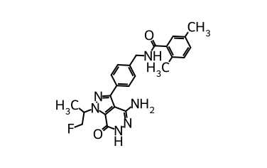 Cc1ccc(C)c(C(=O)NCc2ccc(-c3nn(C(C)CF)c4c(=O)[nH]nc(N)c34)cc2)c1